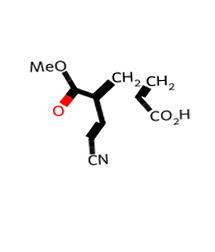 C=C(C=CC#N)C(=O)OC.C=CC(=O)O